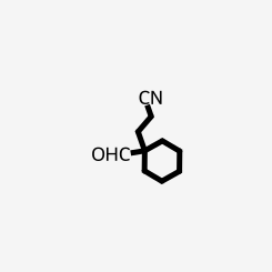 N#CCCC1(C=O)CCCCC1